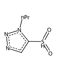 CCCn1nncc1[SH](=O)=O